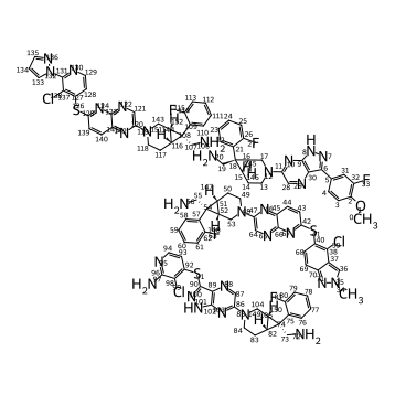 COc1ccc(-c2n[nH]c3nc(N4CC[C@@H]5[C@H](C4)[C@@]5(CN)c4ccccc4F)cnc23)cc1F.Cn1cc2c(Cl)c(Sc3ccc4nc(N5CC[C@@H]6[C@H](C5)[C@@]6(CN)c5ccccc5F)cnc4n3)ccc2n1.NC[C@]1(c2ccccc2F)[C@@H]2CCN(c3cnc4c(Sc5ccnc(N)c5Cl)n[nH]c4n3)C[C@@H]21.NC[C@]1(c2ccccc2F)[C@@H]2CCN(c3cnc4nc(Sc5ccnc(-n6cccn6)c5Cl)ccc4n3)C[C@@H]21